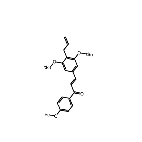 C=CCc1c(OC(C)(C)C)cc(C=CC(=O)c2ccc(OCC)cc2)cc1OC(C)(C)C